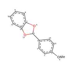 COc1ccc(C2Oc3ccccc3O2)cc1